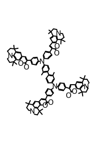 Cc1cc(N(c2ccc(-c3cc4cc5c6c(c4oc3=O)C(C)(C)CCN6CCC5(C)C)cc2)c2ccc(-c3cc4cc5c6c(c4oc3=O)C(C)(C)CCN6CCC5(C)C)cc2)ccc1-c1ccc(N(c2ccc(-c3cc4cc5c6c(c4oc3=O)C(C)(C)CCN6CCC5(C)C)cc2)c2ccc(-c3cc4cc5c6c(c4oc3=O)C(C)(C)CCN6CCC5(C)C)cc2)cc1C